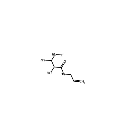 C=CCNC(=O)C(O)C(CCC)NCl